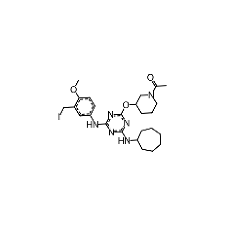 COc1ccc(Nc2nc(NC3CCCCCC3)nc(OC3CCCN(C(C)=O)C3)n2)cc1CI